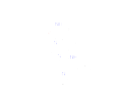 NC(=O)c1cccc2c(NC(CN3CCC3)c3ccccc3)ncnc12